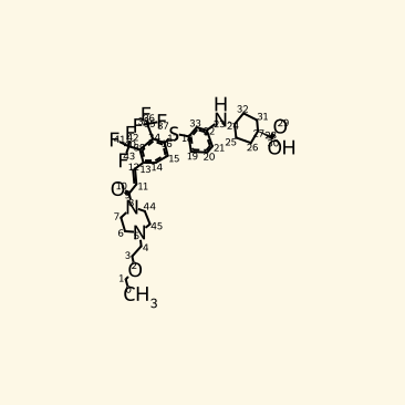 CCOCCN1CCN(C(=O)/C=C/c2ccc(Sc3cccc(N[C@H]4CC[C@H](C(=O)O)CC4)c3)c(C(F)(F)F)c2C(F)(F)F)CC1